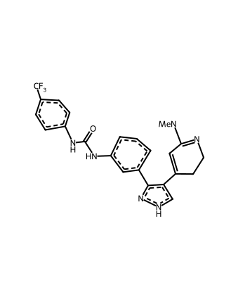 CNC1=NCCC(c2c[nH]nc2-c2cccc(NC(=O)Nc3ccc(C(F)(F)F)cc3)c2)=C1